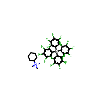 C[N+](C)(C)C1CCCCC1.Fc1c(F)c(F)c([B-](c2c(F)c(F)c(F)c(F)c2F)(c2c(F)c(F)c(F)c(F)c2F)c2c(F)c(F)c(F)c(F)c2F)c(F)c1F